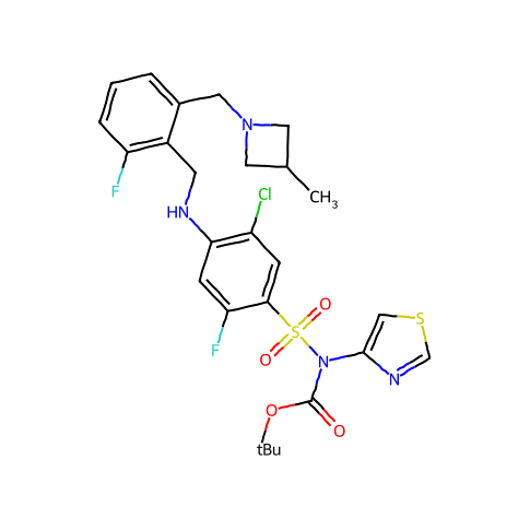 CC1CN(Cc2cccc(F)c2CNc2cc(F)c(S(=O)(=O)N(C(=O)OC(C)(C)C)c3cscn3)cc2Cl)C1